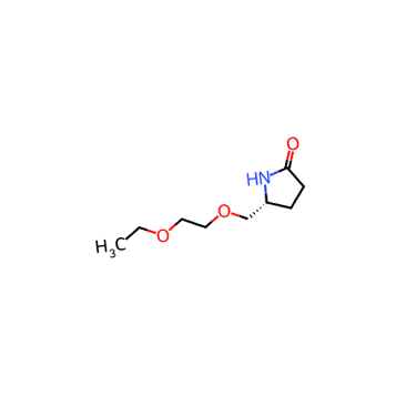 CCOCCOC[C@H]1CCC(=O)N1